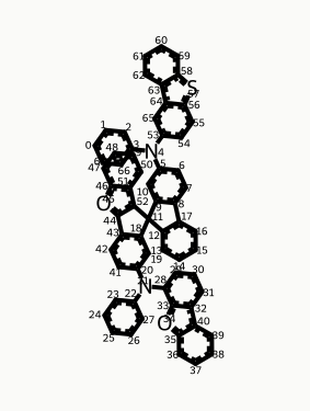 c1ccc(N(c2ccc3c(c2)C2(c4ccccc4-3)c3cc(N(c4ccccc4)c4cccc5c4oc4ccccc45)ccc3-c3oc4ccccc4c32)c2ccc3sc4ccccc4c3c2)cc1